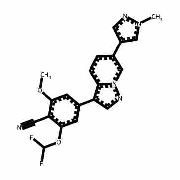 COc1cc(-c2cnn3cc(-c4cnn(C)c4)ccc23)cc(OC(F)F)c1C#N